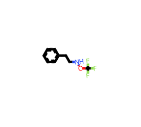 FC(F)(F)ONCCc1ccccc1